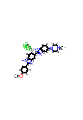 CCOc1ccc(-c2nc3cc(-c4nc5cc(N6CCN(C)CC6)ccc5[nH]4)ccc3[nH]2)cc1.Cl.Cl.Cl.Cl